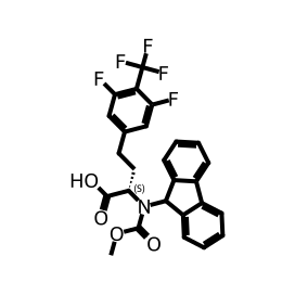 COC(=O)N(C1c2ccccc2-c2ccccc21)[C@@H](CCc1cc(F)c(C(F)(F)F)c(F)c1)C(=O)O